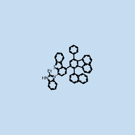 CCc1[nH]c2ccccc2[n+]1-c1ccc(-c2cc(-c3ccccc3)c3c(c2-c2cccc4ccccc24)-c2cccc4cccc-3c24)c2c1sc1ccccc12